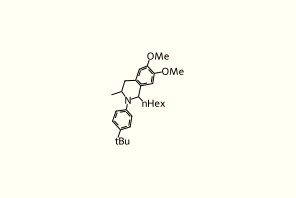 CCCCCCC1c2cc(OC)c(OC)cc2CC(C)N1c1ccc(C(C)(C)C)cc1